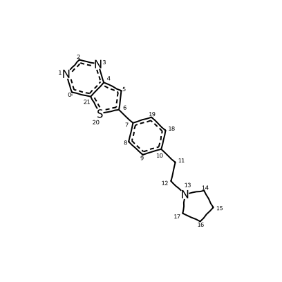 [c]1ncnc2cc(-c3ccc(CCN4CCCC4)cc3)sc12